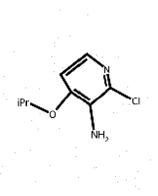 CC(C)Oc1ccnc(Cl)c1N